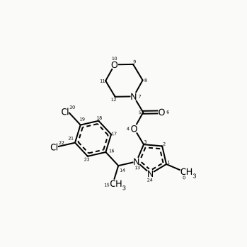 Cc1cc(OC(=O)N2CCOCC2)n(C(C)c2ccc(Cl)c(Cl)c2)n1